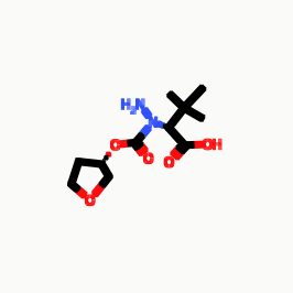 CC(C)(C)[C@@H](C(=O)O)N(N)C(=O)O[C@H]1CCOC1